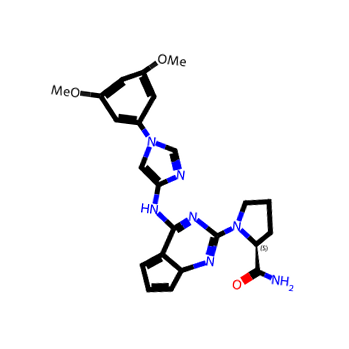 COc1cc(OC)cc(-n2cnc(NC3=NC(N4CCC[C@H]4C(N)=O)=NC4C=CC=C34)c2)c1